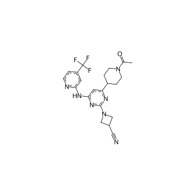 CC(=O)N1CCC(c2cc(Nc3cc(C(F)(F)F)ccn3)nc(N3CC(C#N)C3)n2)CC1